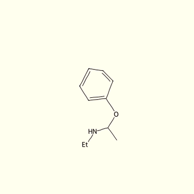 CCNC(C)Oc1ccccc1